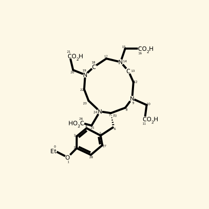 CCOc1ccc(C[C@H]2CN(CC(=O)O)CCN(CC(=O)O)CCN(CC(=O)O)CCN2CC(=O)O)cc1